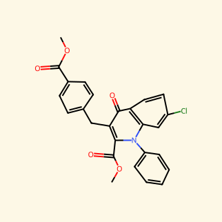 COC(=O)c1ccc(Cc2c(C(=O)OC)n(-c3ccccc3)c3cc(Cl)ccc3c2=O)cc1